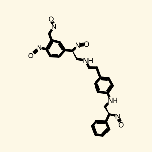 O=NCc1cc([C@H](CNCCc2ccc(NC[C@@H](N=O)c3ccccc3)cc2)N=O)ccc1N=O